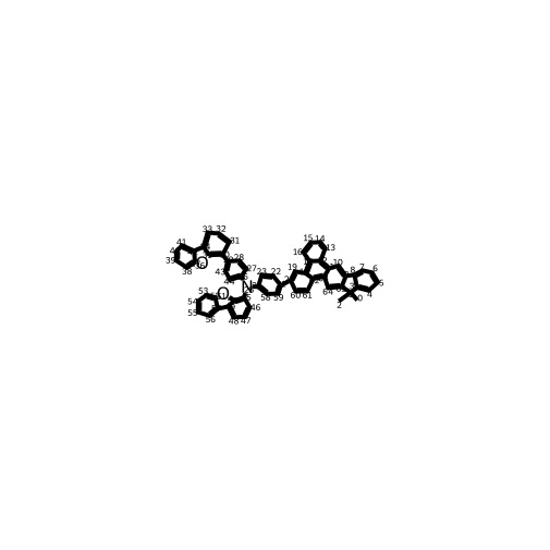 CC1(C)c2ccccc2-c2cc3c4ccccc4c4cc(-c5ccc(N(c6ccc(-c7cccc8c7oc7ccccc78)cc6)c6cccc7c6oc6ccccc67)cc5)ccc4c3cc21